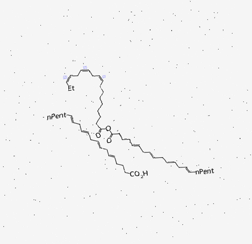 CC/C=C\C/C=C\C/C=C\CCCCCCCC(=O)OC(=O)CCCC=CCC=CCC=CCC=CCCCCC.CCCCCC=CCC=CCC=CCC=CCCCC(=O)O